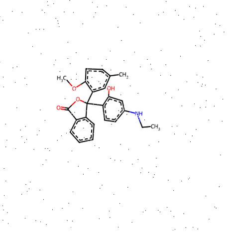 CCNc1ccc(C2(c3cc(C)ccc3OC)OC(=O)c3ccccc32)c(O)c1